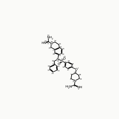 N=C(N)N1CCC(Oc2ccc(S(=O)(=O)N(Cc3ccccc3)c3ccc4c(c3)CN(C(=N)N)CC4)cc2)CC1